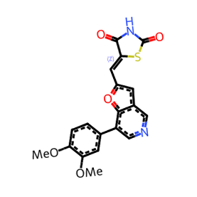 COc1ccc(-c2cncc3cc(/C=C4\SC(=O)NC4=O)oc23)cc1OC